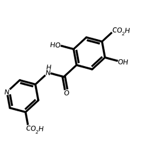 O=C(O)c1cncc(NC(=O)c2cc(O)c(C(=O)O)cc2O)c1